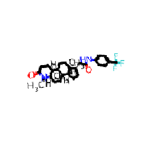 CN1C(=O)C=C[C@]2(C)[C@H]3CC[C@]4(C)[C@@H](CC(=O)Nc5ccc(C(F)(F)F)cc5)CC[C@H]4[C@@H]3CC[C@@H]12